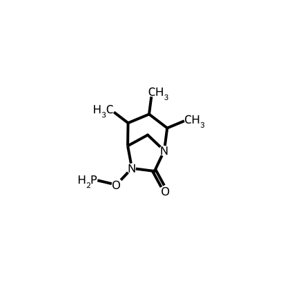 CC1C(C)C2CN(C(=O)N2OP)C1C